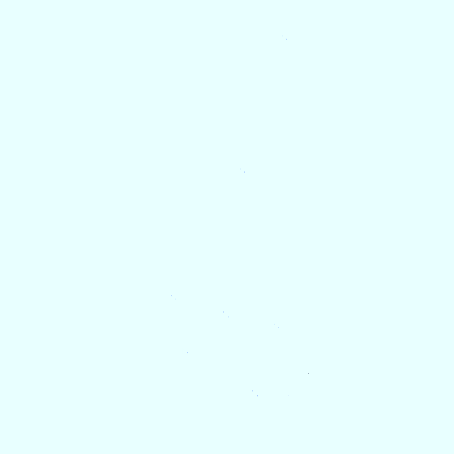 Cc1cc(C(=O)NC2CC3(CCNCC3)C2)ccc1Nc1ncc2c(n1)N(C(C)C)CC(F)(F)C(=O)N2C